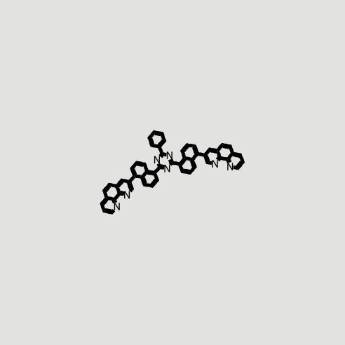 c1ccc(-c2nc(-c3cccc4c(-c5cnc6c(ccc7cccnc76)c5)cccc34)nc(-c3cccc4c(-c5cnc6c(ccc7cccnc76)c5)cccc34)n2)cc1